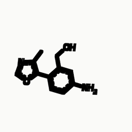 Cc1ncoc1-c1ccc(N)cc1CO